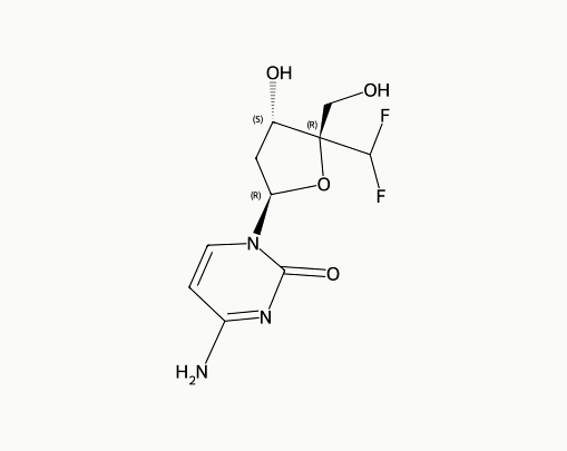 Nc1ccn([C@H]2C[C@H](O)[C@](CO)(C(F)F)O2)c(=O)n1